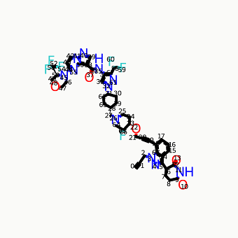 C#CCn1nc(C2CCC(=O)NC2=O)c2cccc(C#CCO[C@H]3CCN(C[C@H]4CC[C@H](n5cc(NC(=O)c6cnn7ccc(N8CCOC[C@H]8C(F)(F)F)nc67)c(C(F)F)n5)CC4)C[C@H]3F)c21